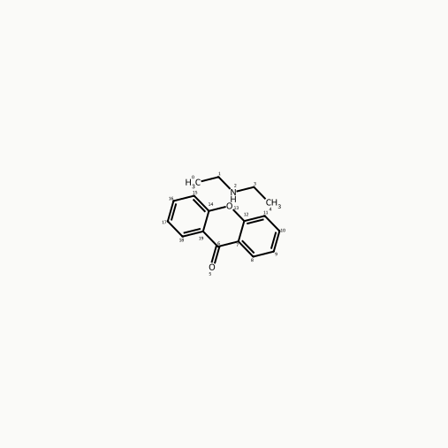 CCNCC.O=c1c2ccccc2oc2ccccc12